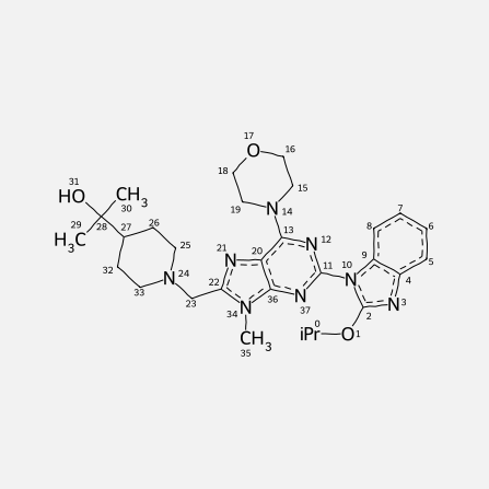 CC(C)Oc1nc2ccccc2n1-c1nc(N2CCOCC2)c2nc(CN3CCC(C(C)(C)O)CC3)n(C)c2n1